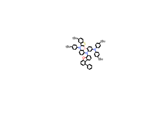 CC(C)(C)c1ccc(N(c2ccc(C(C)(C)C)cc2)c2ccc3c(c2)N(c2cccc4c2oc2cccc(-c5ccccc5)c24)c2cccc4c2B3c2sc3ccc(C(C)(C)C)cc3c2N4c2ccc(C(C)(C)C)cc2)cc1